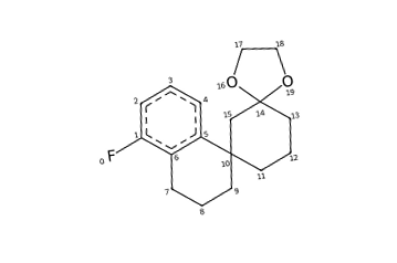 Fc1cccc2c1CCCC21CCCC2(C1)OCCO2